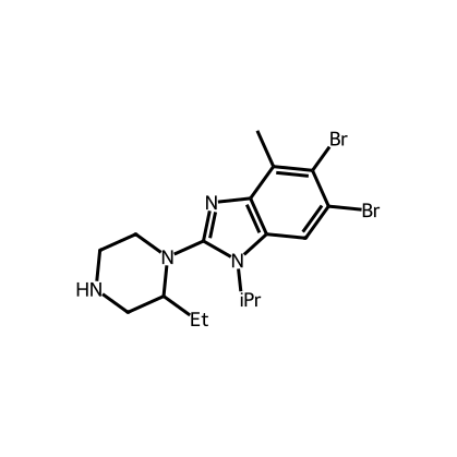 CCC1CNCCN1c1nc2c(C)c(Br)c(Br)cc2n1C(C)C